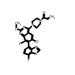 C=CC(=O)N1CCN(c2nc(OC)nc3c(F)c(-c4ccc(F)c5scnc45)c(Cl)cc23)CC1